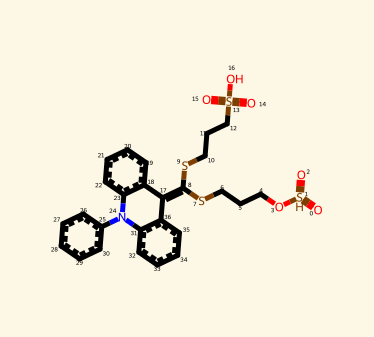 O=[SH](=O)OCCCSC(SCCCS(=O)(=O)O)=C1c2ccccc2N(c2ccccc2)c2ccccc21